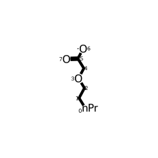 CCCCCOCC([O])=O